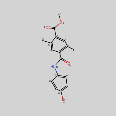 COC(=O)c1cc(C)c(C(=O)Nc2ccc(Br)cc2)cc1C